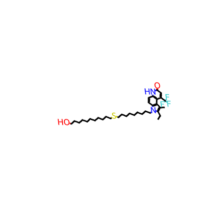 CCc1c(C)c2c3c(C(F)(F)F)cc(=O)[nH]c3ccc2n1CCCCCCCCCSCCCCCCCCCCCO